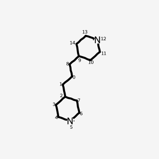 C(CC1CC[N]CC1)CC1CC[N]CC1